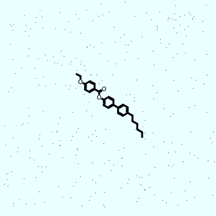 CCCCCCc1ccc(-c2ccc(OC(=O)c3ccc(OCC)cc3)cc2)cc1